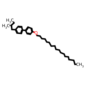 CCCCCCCCCCCCCCCCCCOc1ccc(-c2ccc(C[C@@H](C)CC)cc2)cc1